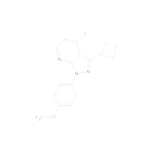 FC(F)(F)Oc1ccc(-n2nc(C3CCC3)c3c(I)ccnc32)cc1